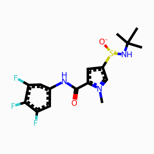 Cn1cc([S+]([O-])NC(C)(C)C)cc1C(=O)Nc1cc(F)c(F)c(F)c1